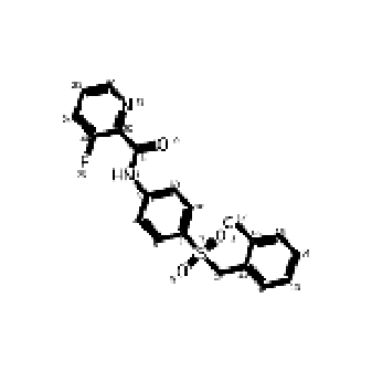 O=C(Nc1ccc(S(=O)(=O)Cc2ccccc2Cl)cc1)c1ncccc1F